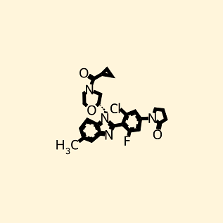 Cc1ccc2c(c1)nc(-c1c(F)cc(N3CCCC3=O)cc1Cl)n2C[C@H]1CN(C(=O)C2CC2)CCO1